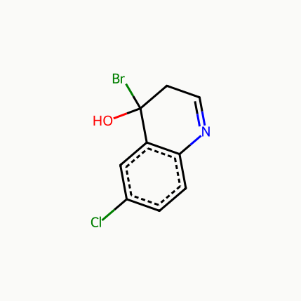 OC1(Br)CC=Nc2ccc(Cl)cc21